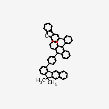 CC1(C)c2cc3ccccc3cc2-c2c(-c3ccc(-c4c5ccccc5c(-c5ccccc5-c5ccc6oc7ccccc7c6c5)c5ccccc45)cc3)cccc21